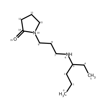 CCCC(CC)NCCCN1CCCC1=O